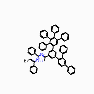 CC/C=C(/NC(/N=C(\C)c1cc(-c2ccc(-c3ccccc3)cc2-c2ccccc2)cc(-c2cc(-c3ccccc3)c(-c3ccccc3)c(-c3ccccc3)c2-c2ccccc2)c1)c1ccccc1)c1ccccc1